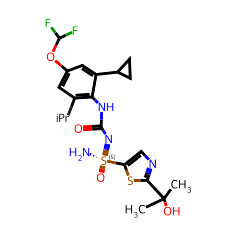 CC(C)c1cc(OC(F)F)cc(C2CC2)c1NC(=O)N=[S@](N)(=O)c1cnc(C(C)(C)O)s1